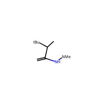 C=C(NNC)C(C)C(C)(C)C